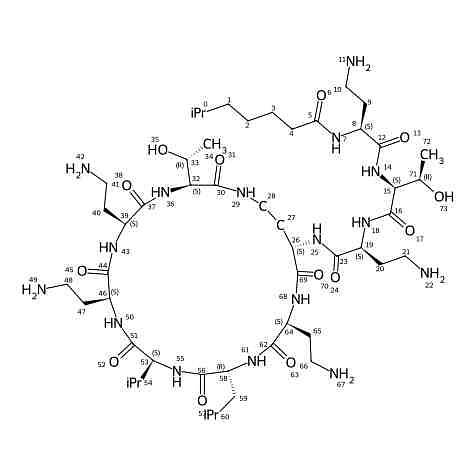 CC(C)CCCCC(=O)N[C@@H](CCN)C(=O)N[C@H](C(=O)N[C@@H](CCN)C(=O)N[C@H]1CCNC(=O)[C@H]([C@@H](C)O)NC(=O)[C@H](CCN)NC(=O)[C@H](CCN)NC(=O)[C@H](C(C)C)NC(=O)[C@@H](CC(C)C)NC(=O)[C@H](CCN)NC1=O)[C@@H](C)O